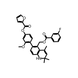 COc1cc(OC(=O)c2ccco2)ccc1-c1ccc2c(c1COC(=O)c1cccc(F)c1)C(C)=CC(C)(C)N2